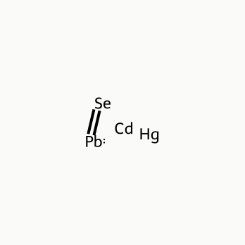 [Cd].[Hg].[Se]=[Pb]